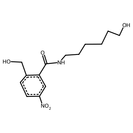 O=C(NCCCCCCO)c1cc([N+](=O)[O-])ccc1CO